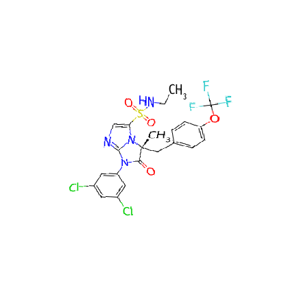 CCNS(=O)(=O)c1cnc2n1[C@](C)(Cc1ccc(OC(F)(F)F)cc1)C(=O)N2c1cc(Cl)cc(Cl)c1